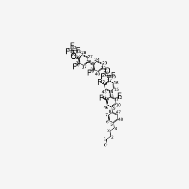 CCCCCc1ccc(-c2cc(F)c(-c3ccc(C(F)(F)Oc4ccc(-c5ccc(OC(F)(F)F)c(F)c5)c(F)c4)c(F)c3)c(F)c2)cc1